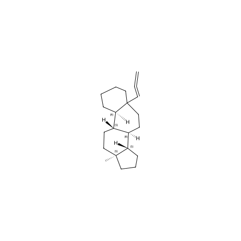 C=C=CC12CCCC[C@@H]1[C@H]1CC[C@]3(C)CCC[C@H]3[C@@H]1CC2